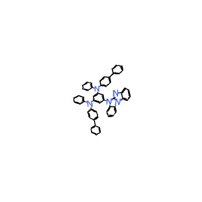 c1ccc(-c2ccc(N(c3ccccc3)c3cc(N(c4ccccc4)c4ccc(-c5ccccc5)cc4)cc(-n4c5ccccc5n5c6ccccc6nc45)c3)cc2)cc1